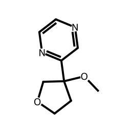 COC1(c2cnccn2)CCOC1